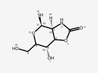 O=C1N[C@H]2C(O1)[C@H](O)C(CO)O[C@H]2S